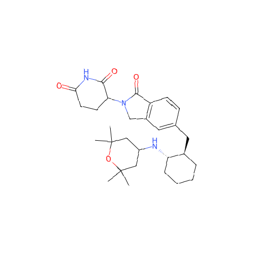 CC1(C)CC(N[C@H]2CCCC[C@@H]2Cc2ccc3c(c2)CN(C2CCC(=O)NC2=O)C3=O)CC(C)(C)O1